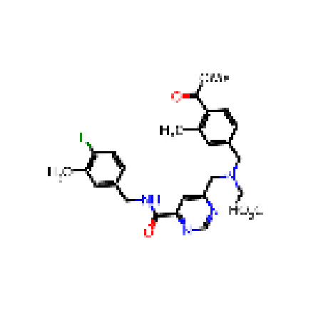 COC(=O)c1ccc(CN(CC(=O)O)Cc2cc(C(=O)NCc3ccc(F)c(C)c3)ncn2)cc1C